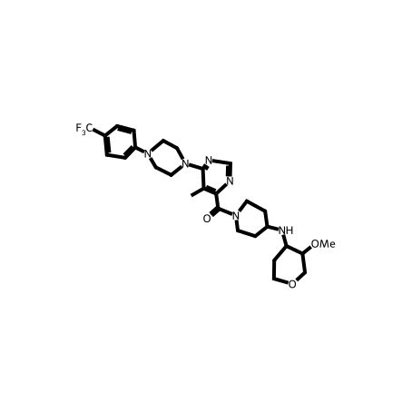 COC1COCCC1NC1CCN(C(=O)c2ncnc(N3CCN(c4ccc(C(F)(F)F)cc4)CC3)c2C)CC1